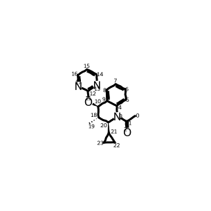 CC(=O)N1c2ccccc2[C@H](Oc2ncccn2)[C@@H](C)[C@@H]1C1CC1